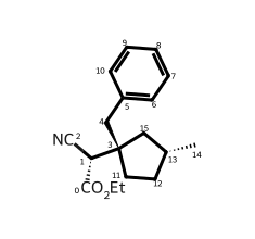 CCOC(=O)[C@H](C#N)[C@@]1(Cc2ccccc2)CC[C@@H](C)C1